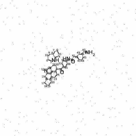 C1=CNc2ccccc2C=C1.CN(C)C1C=c2ccccc2=c2ccc3c(c21)CCCC=3C(=O)c1ccc(NC(=O)Cc2cccc(CN)c2)cc1